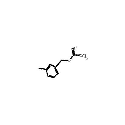 N=C(OCc1cccc(I)c1)C(Cl)(Cl)Cl